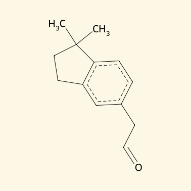 CC1(C)CCc2cc(CC=O)ccc21